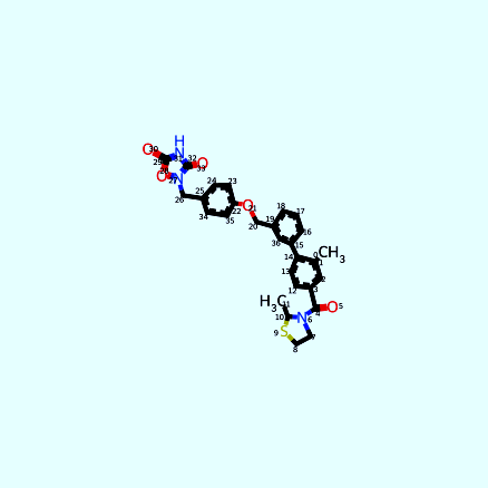 Cc1cc(C(=O)N2CCSC2C)ccc1-c1cccc(COc2ccc(Cn3oc(=O)[nH]c3=O)cc2)c1